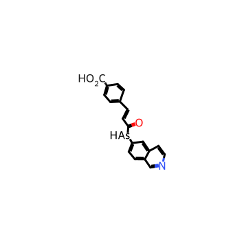 O=C(/C=C/c1ccc(C(=O)O)cc1)[AsH]c1ccc2cnccc2c1